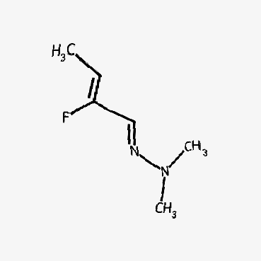 C/C=C(F)/C=N/N(C)C